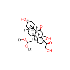 CCOC(C)OCC.C[C@]12CC[C@@H](O)C[C@H]1CC[C@@H]1[C@@H]2C(=O)C[C@@]2(C)[C@H]1CC[C@]2(O)C(=O)CO